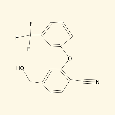 N#Cc1ccc(CO)cc1Oc1cccc(C(F)(F)F)c1